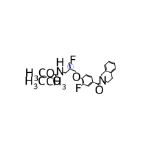 CC(C)(C)OC(=O)NC/C(=C/F)COc1ccc(C(=O)N2CCc3ccccc3C2)cc1F